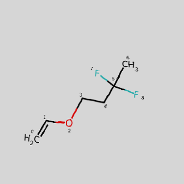 C=COCCC(C)(F)F